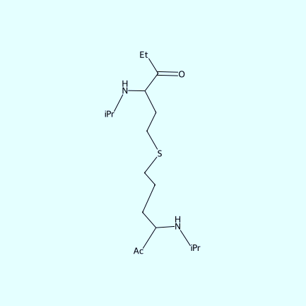 CCC(=O)C(CCSCCCC(NC(C)C)C(C)=O)NC(C)C